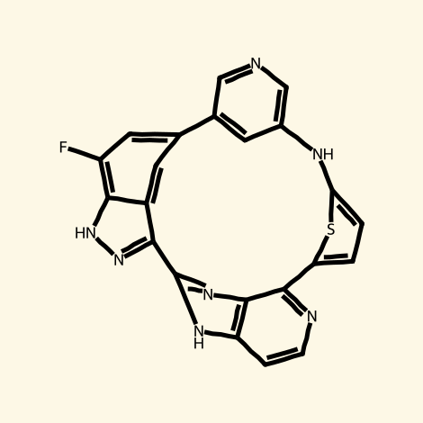 Fc1cc2cc3c1[nH]nc3c1nc3c(ccnc3c3ccc([nH]c4cncc2c4)s3)[nH]1